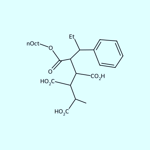 CCCCCCCCOC(=O)C(C(CC)c1ccccc1)C(C(=O)O)C(C(=O)O)C(C)C(=O)O